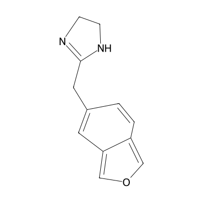 c1cc2cocc2cc1CC1=NCCN1